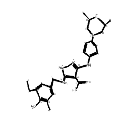 CCc1cc(CNc2[nH]nc(Nc3ccc(N4C[C@@H](C)O[C@@H](C)C4)cc3)c2C(N)=O)cc(C)c1O